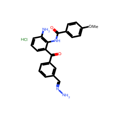 COc1ccc(C(=O)Nc2c(N)cccc2C(=O)c2cccc(C=NN)c2)cc1.Cl